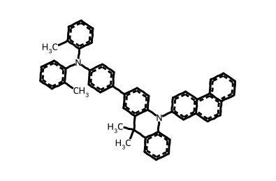 Cc1ccccc1N(c1ccc(-c2ccc3c(c2)C(C)(C)c2ccccc2N3c2ccc3c(ccc4ccccc43)c2)cc1)c1ccccc1C